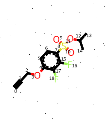 C#CCOc1ccc(S(=O)(=O)OC(C)C)c(F)c1F